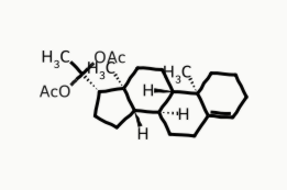 CC(=O)OC(C)(OC(C)=O)[C@H]1CC[C@H]2[C@@H]3CCC4=CCCC[C@]4(C)[C@H]3CC[C@]12C